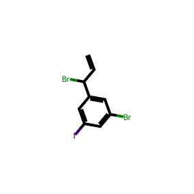 C=CC(Br)c1cc(Br)cc(I)c1